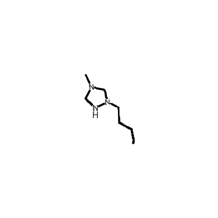 CCCCN1CN(C)CN1